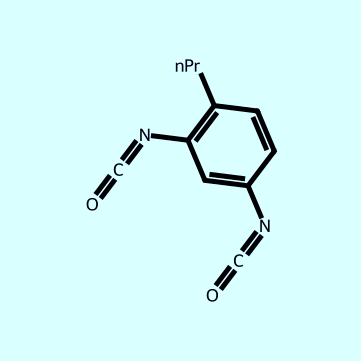 CCCc1ccc(N=C=O)cc1N=C=O